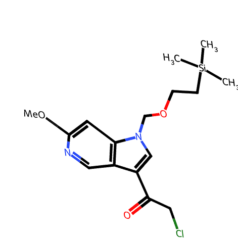 COc1cc2c(cn1)c(C(=O)CCl)cn2COCC[Si](C)(C)C